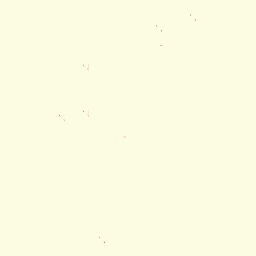 Cc1cc(C#N)ccc1-c1cnn(-c2ccc(C(=O)N3CCN4CCC3CC4)cn2)c1O